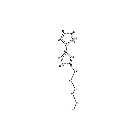 CCCCCCc1cc(-c2ccc[nH]2)cs1